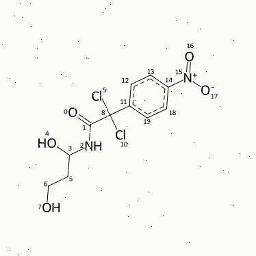 O=C(NC(O)CCO)C(Cl)(Cl)c1ccc([N+](=O)[O-])cc1